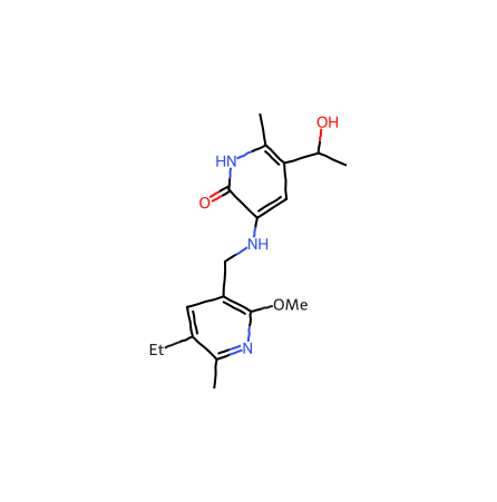 CCc1cc(CNc2cc(C(C)O)c(C)[nH]c2=O)c(OC)nc1C